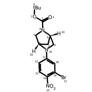 CC(C)(C)OC(=O)N1C[C@@H]2C[C@H]1CN2c1ccc([N+](=O)[O-])c(Br)c1